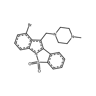 CN1CCN(Cc2c3n(c4cccc(Br)c24)S(=O)(=O)c2ccccc2-3)CC1